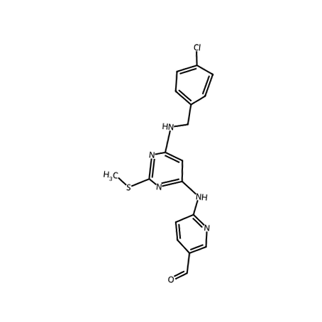 CSc1nc(NCc2ccc(Cl)cc2)cc(Nc2ccc(C=O)cn2)n1